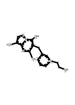 Cc1nc2c(N)cnn2c(O)c1Cc1ccc[n+](CCO)c1